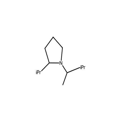 CC(C)C(C)N1CCCC1C(C)C